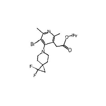 Cc1nc(C)c(CC(=O)OC(C)C)c(N2CCC3(CC2)CC3(F)F)c1Br